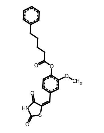 COc1cc(C=C2SC(=O)NC2=O)ccc1OC(=O)CCCCc1ccccc1